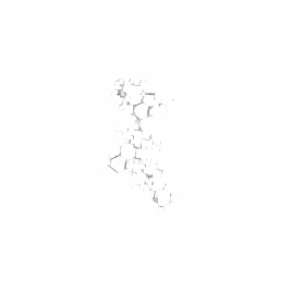 CCn1cc2c3c(cc(C(=O)N[C@@H](Cc4ccccc4)[C@H](O)CN[C@@H](C)C(=O)NC4CCCCC4)cc31)N(C)S(=O)(=O)CC2